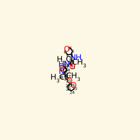 CC(C)(NC1CCOCC1)C(=O)Nc1cc(C(C)(C)COC2CCCCO2)no1